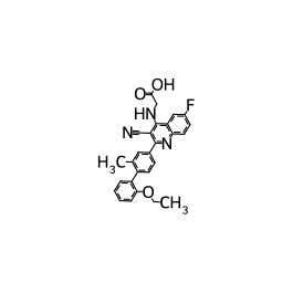 CCOc1ccccc1-c1ccc(-c2nc3ccc(F)cc3c(NCC(=O)O)c2C#N)cc1C